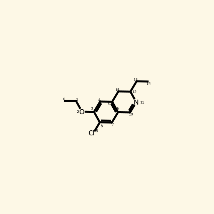 CCOc1cc2c(cc1Cl)C=NC(CC)C2